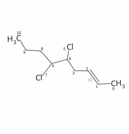 C/C=C/CC(Cl)C(Cl)CCC